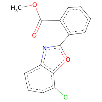 COC(=O)c1ccccc1-c1nc2cccc(Cl)c2o1